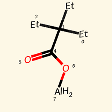 CCC(CC)(CC)C(=O)[O][AlH2]